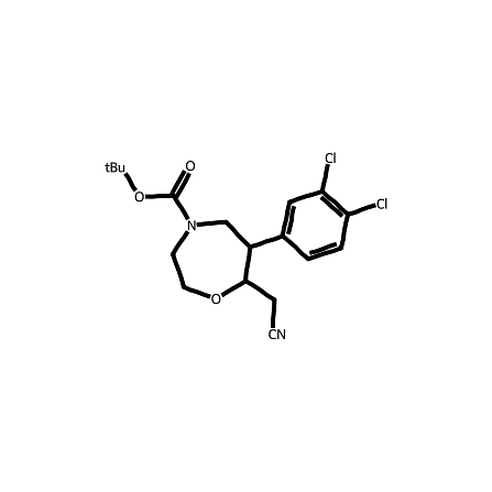 CC(C)(C)OC(=O)N1CCOC(CC#N)C(c2ccc(Cl)c(Cl)c2)C1